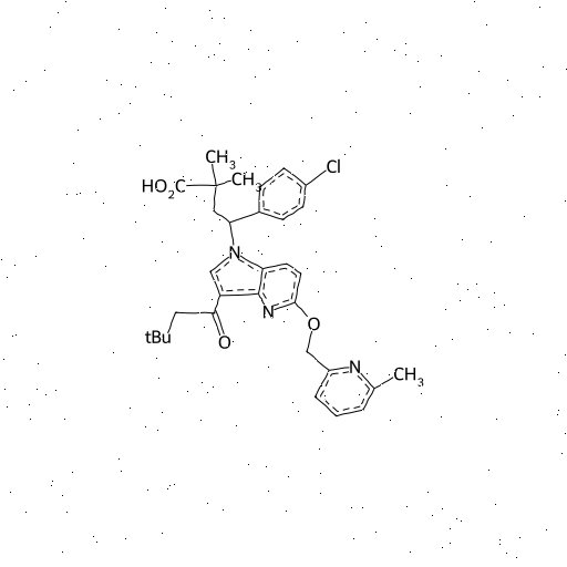 Cc1cccc(COc2ccc3c(n2)c(C(=O)CC(C)(C)C)cn3C(CC(C)(C)C(=O)O)c2ccc(Cl)cc2)n1